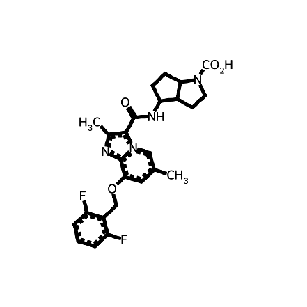 Cc1cc(OCc2c(F)cccc2F)c2nc(C)c(C(=O)NC3CCC4C3CCN4C(=O)O)n2c1